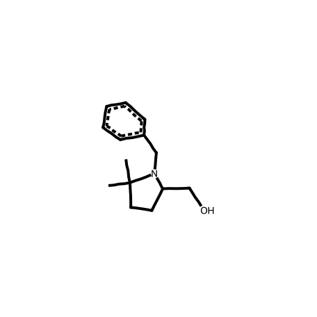 CC1(C)CCC(CO)N1Cc1ccccc1